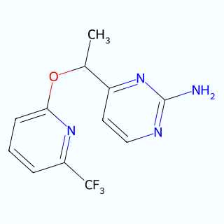 CC(Oc1cccc(C(F)(F)F)n1)c1ccnc(N)n1